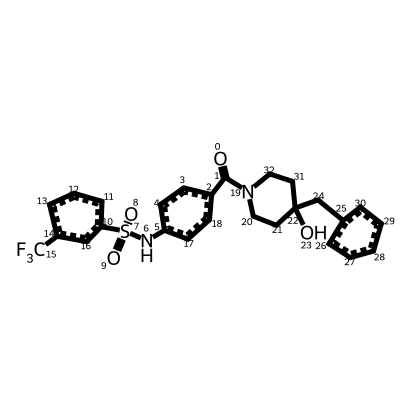 O=C(c1ccc(NS(=O)(=O)c2cccc(C(F)(F)F)c2)cc1)N1CCC(O)(Cc2ccccc2)CC1